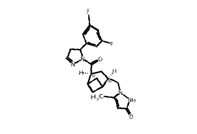 Cc1cc(=O)[nH]n1C[C@@H]1C[C@H](C(=O)N2N=CCC2c2cc(F)cc(F)c2)C2CC1C2